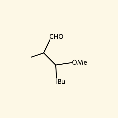 CCC(C)C(OC)C(C)C=O